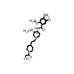 CCC(=O)N1CCC(CCN2CC[C@@H](NC(=O)c3cc(Cl)c(N)cc3OC)[C@@H](OC)C2)CC1